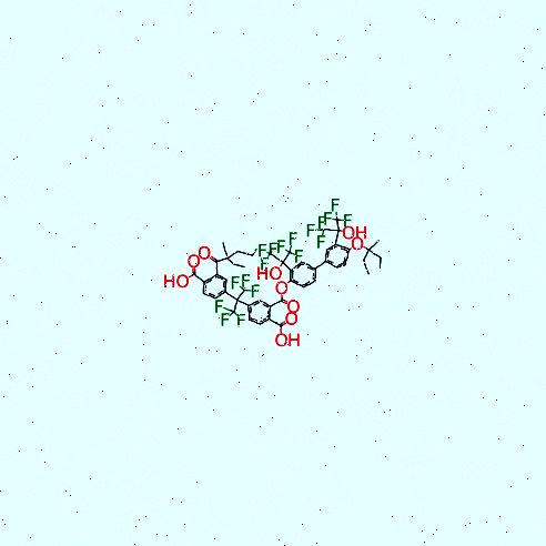 CCCC(C)(CC)C(=O)c1cc(C(c2ccc(C(=O)O)c(C(=O)Oc3ccc(-c4ccc(OC(C)(CC)CC)c(C(O)(C(F)(F)F)C(F)(F)F)c4)cc3C(O)(C(F)(F)F)C(F)(F)F)c2)(C(F)(F)F)C(F)(F)F)ccc1C(=O)O